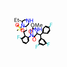 CC[C@H]1CNC[C@H](CCc2c(F)cccc2NC(=O)C(NC(=O)OC)C(c2ccc(F)cc2)c2cc(F)cc(F)c2)N1S(C)(=O)=O